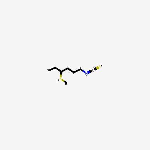 CCC(CCCN=C=S)SC